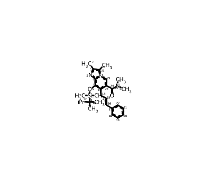 Cc1nc2c(O[Si](C)(C)C(C)(C)C(C)C)c(CC=Cc3ccccc3)c(C(=O)N(C)C)cn2c1C